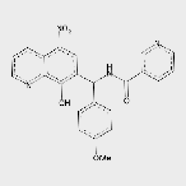 COc1ccc(C(NC(=O)c2cccnc2)c2cc([N+](=O)[O-])c3cccnc3c2O)cc1